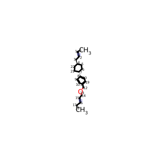 C/C=C/C[C@H]1CC[C@H](c2ccc(COC/C=C/CC)cc2)CC1